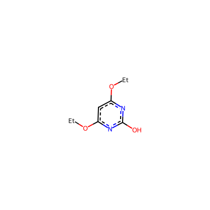 CCOc1cc(OCC)nc(O)n1